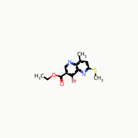 CCOC(=O)c1cnc2c(C)cc(SC)nc2c1Br